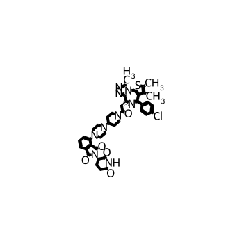 Cc1sc2c(c1C)C(c1ccc(Cl)cc1)=N[C@@H](CC(=O)N1CCC(N3CCN(c4cccc5c4C(=O)N(C4CCC(=O)NC4=O)C5=O)CC3)CC1)c1nnc(C)n1-2